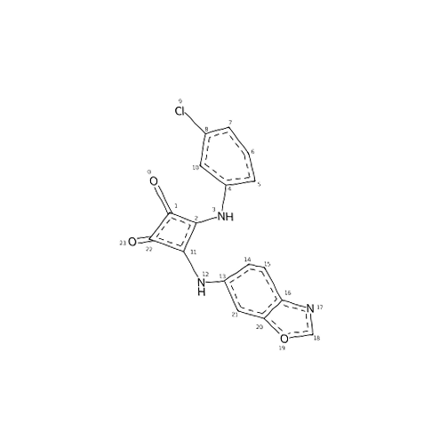 O=c1c(Nc2cccc(Cl)c2)c(Nc2ccc3ncoc3c2)c1=O